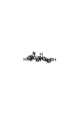 N#Cc1cc(-c2ncnc(Nc3ccc(N4CCO[C@@H](CO)C4)cc3)n2)ccc1OC1CCNCC1(F)F